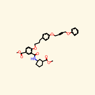 COC(=O)c1ccc(OCCCc2ccc(OCC#CCOc3ccccc3)cc2)c(C(=O)NC2CCCC(C(=O)OC)C2)c1